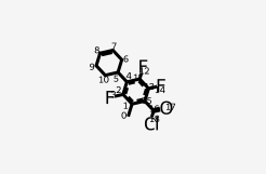 Cc1c(F)c(C2CC=CCC2)c(F)c(F)c1C(=O)Cl